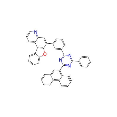 c1ccc2c(c#1)c(-c1nc(-c3ccccc3)nc(-c3cccc(-c4cc5ncccc5c5c4oc4ccccc45)c3)n1)cc1ccccc12